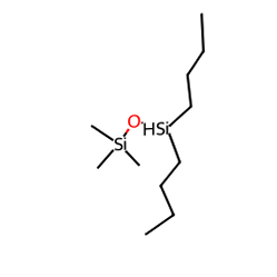 CCCC[SiH](CCCC)O[Si](C)(C)C